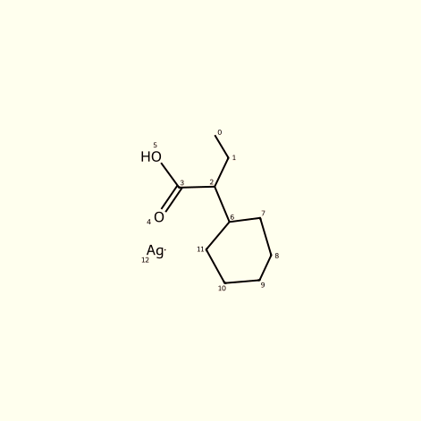 CCC(C(=O)O)C1CCCCC1.[Ag]